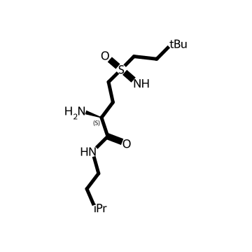 CC(C)CCNC(=O)[C@@H](N)CCS(=N)(=O)CCC(C)(C)C